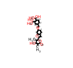 Cc1c(-c2cc3ccc(OCc4ccc(C(O)O)c(C(O)O)c4)cc3o2)oc(=O)c(C)c1O